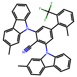 Cc1ccc2c3ccccc3n(-c3cc(-c4c(C)cccc4C(F)(F)F)cc(-n4c5ccccc5c5ccc(C)cc54)c3C#N)c2c1